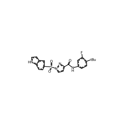 CC(C)(C)c1ccc(NC(=O)c2ccn(S(=O)(=O)c3ccc4[nH]ccc4c3)n2)cc1F